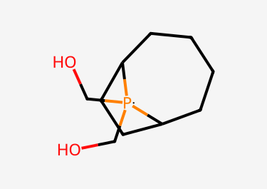 OC[P]1(CO)C2CCCCC1CC2